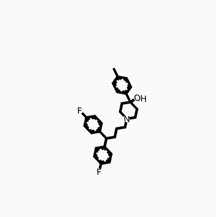 Cc1ccc(C2(O)CCN(CCCC(c3ccc(F)cc3)c3ccc(F)cc3)CC2)cc1